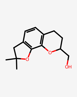 CC1(C)Cc2ccc3c(c2O1)OC(CO)CC3